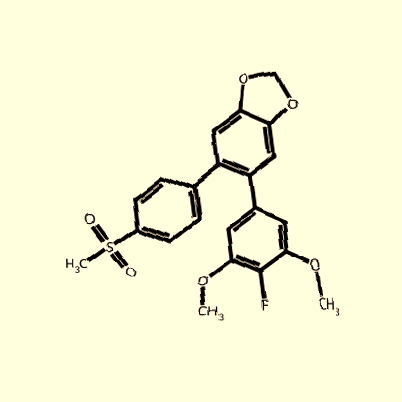 COc1cc(-c2cc3c(cc2-c2ccc(S(C)(=O)=O)cc2)OCO3)cc(OC)c1F